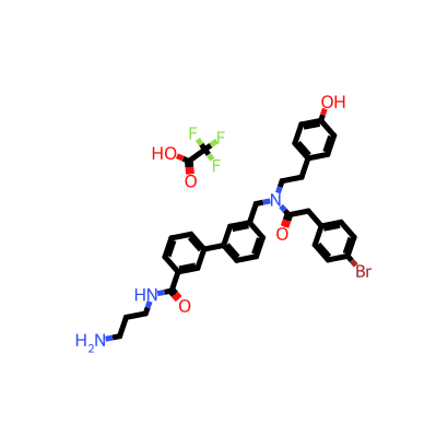 NCCCNC(=O)c1cccc(-c2cccc(CN(CCc3ccc(O)cc3)C(=O)Cc3ccc(Br)cc3)c2)c1.O=C(O)C(F)(F)F